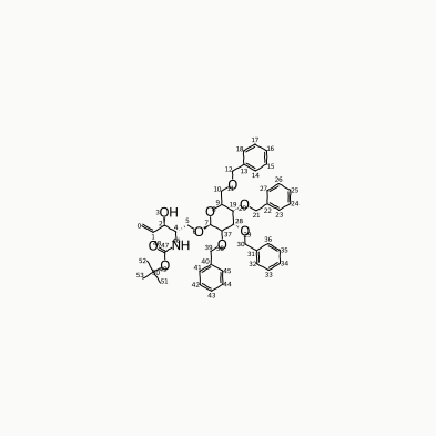 C=C[C@@H](O)[C@H](CO[C@H]1OC(COCc2ccccc2)[C@H](OCc2ccccc2)[C@H](OCc2ccccc2)C1OCc1ccccc1)NC(=O)OC(C)(C)C